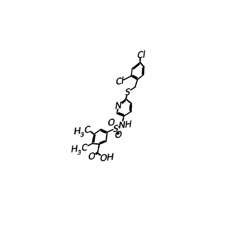 Cc1cc(S(=O)(=O)Nc2ccc(SCc3ccc(Cl)cc3Cl)nc2)cc(C(=O)O)c1C